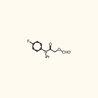 CC(C)N(C(=O)COC=O)c1ccc(F)cc1